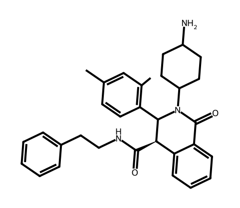 Cc1ccc(C2[C@H](C(=O)NCCc3ccccc3)c3ccccc3C(=O)N2C2CCC(N)CC2)c(C)c1